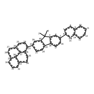 CC1(C)c2cc(-c3ccc4ccccc4n3)ccc2-c2ccc(-c3ccc4ccc5cccc6ccc3c4c56)cc21